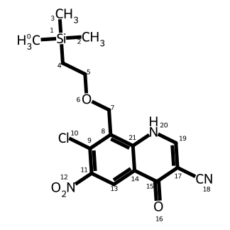 C[Si](C)(C)CCOCc1c(Cl)c([N+](=O)[O-])cc2c(=O)c(C#N)c[nH]c12